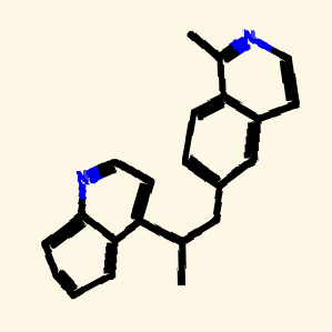 Cc1nccc2cc(CC(C)c3ccnc4ccccc34)ccc12